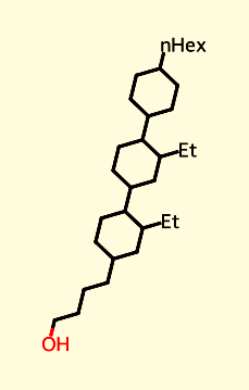 CCCCCCC1CCC(C2CCC(C3CCC(CCCCO)CC3CC)CC2CC)CC1